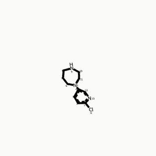 Clc1ccc(N2CCCNCC2)cn1